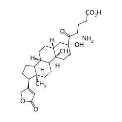 C[C@]12CC[C@](O)(C(=O)[C@@H](N)CCC(=O)O)C[C@H]1CC[C@@H]1[C@@H]2CC[C@]2(C)[C@@H](C3=CC(=O)OC3)CC[C@@H]12